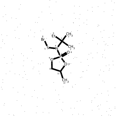 CCC(C)(C)N(SBr)P1(=O)OCC(C)O1